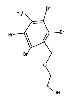 Cc1c(Br)c(Br)c(COCCO)c(Br)c1Br